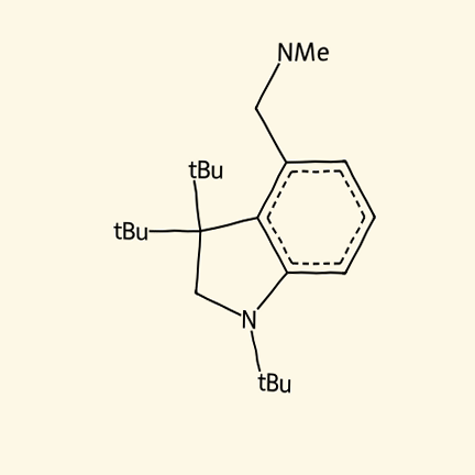 CNCc1cccc2c1C(C(C)(C)C)(C(C)(C)C)CN2C(C)(C)C